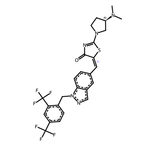 CN(C)[C@@H]1CCN(C2=NC(=O)/C(=C\c3ccc4c(cnn4Cc4ccc(C(F)(F)F)cc4C(F)(F)F)c3)S2)C1